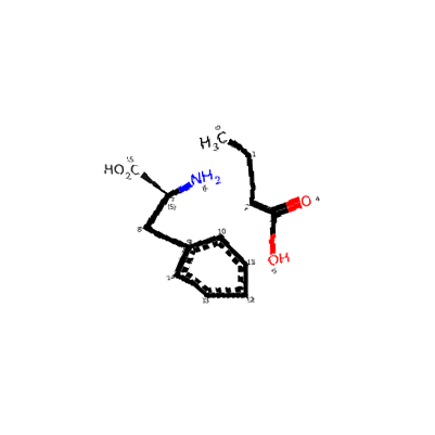 CCCC(=O)O.N[C@@H](Cc1ccccc1)C(=O)O